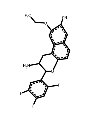 N#Cc1cc2ccc3c(c2cc1OCC(F)(F)F)CC(N)C(c1cc(F)c(F)cc1F)O3